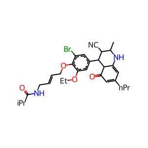 CCCC1=CC(=O)C2C(=C1)NC(C)C(C#N)C2c1cc(Br)c(OCC=CCNC(=O)C(C)C)c(OCC)c1